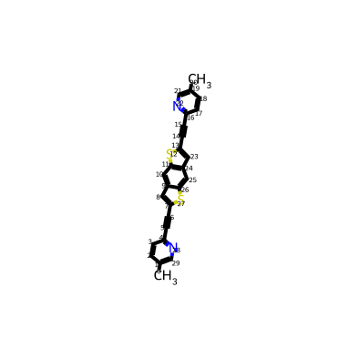 Cc1ccc(C#Cc2cc3cc4sc(C#Cc5ccc(C)cn5)cc4cc3s2)nc1